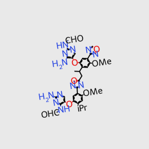 COc1cc(C(C)Cc2nc(-c3cc(Oc4cnc(N)nc4NC=O)c(C(C)C)cc3OC)no2)c(Oc2cnc(NC=O)nc2N)cc1-c1ncon1